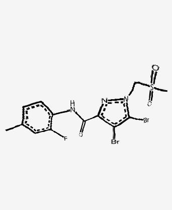 Cc1ccc(NC(=O)c2nn(CS(C)(=O)=O)c(Br)c2Br)c(F)c1